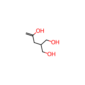 C=C(O)CC(CO)CO